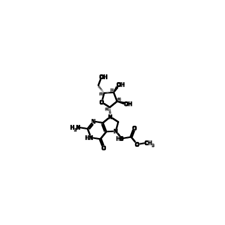 COC(=O)BN1CN([C@@H]2O[C@H](CO)[C@@H](O)[C@H]2O)c2nc(N)[nH]c(=O)c21